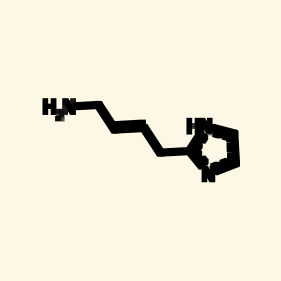 NCC=CCc1ncc[nH]1